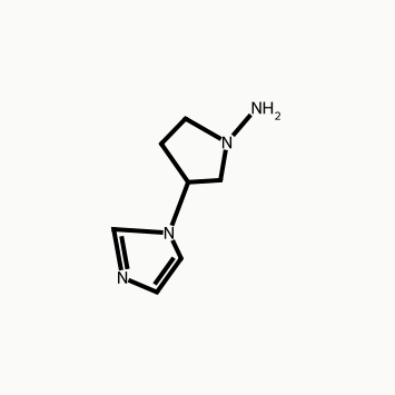 NN1CCC(n2ccnc2)C1